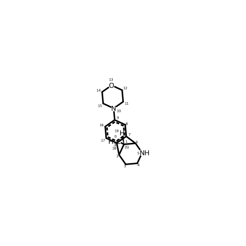 C[C@H]1C2CCNC1c1cc(N3CCOCC3)ccc12